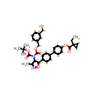 CCC1(C(=O)Oc2ccc(-c3ccc(-c4onc(C)c4N(C(=O)OCc4cccc(CBr)c4)C(=O)OC(C)(C)C)cc3)cc2)CC1